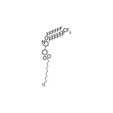 FC(F)(F)C(F)(F)C(F)(F)C(F)(F)C(F)(F)C(F)(F)C(F)(F)Oc1ccc(-c2ccc3c(c2)OC(CCCCCCCCCC2CC2)O3)cn1